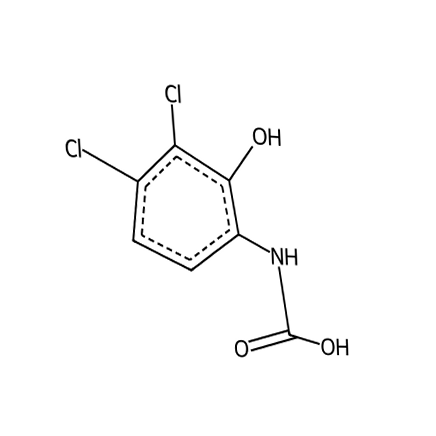 O=C(O)Nc1ccc(Cl)c(Cl)c1O